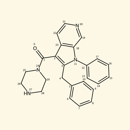 O=C(c1c(Cc2ccccc2)n(-c2ccccc2)c2cnccc12)N1CCNCC1